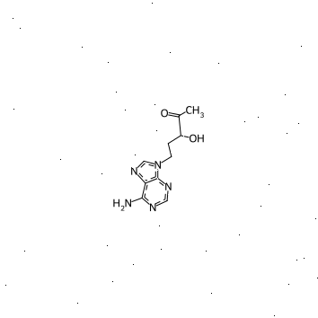 CC(=O)C(O)CCn1cnc2c(N)ncnc21